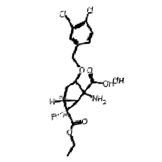 CCOC(=O)[C@]1(F)C2[C@H]1CC(OCc1ccc(Cl)c(Cl)c1)C2(N)C(=O)O.Cl